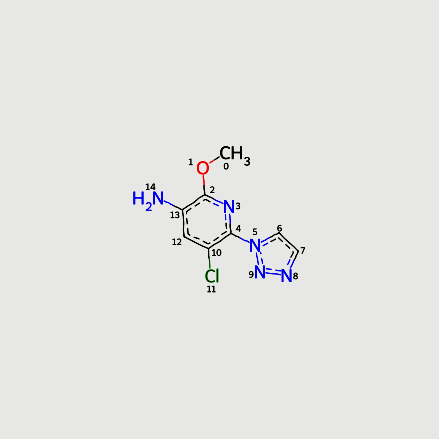 COc1nc(-n2ccnn2)c(Cl)cc1N